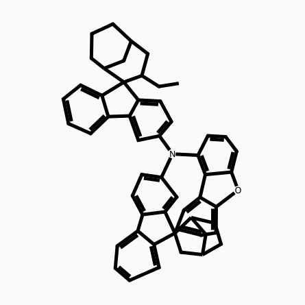 CCC1CC2CCCC(C2)C12c1ccccc1-c1cc(N(c3ccc4c(c3)C3(CC5CCC3C5)c3ccccc3-4)c3cccc4oc5ccccc5c34)ccc12